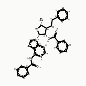 CC[C@H]1O[C@@H](n2cnc3c(NC(=O)c4ccccc4)ncnc32)[C@@H](OC(=O)c2ccccc2)C1CCc1ccccc1